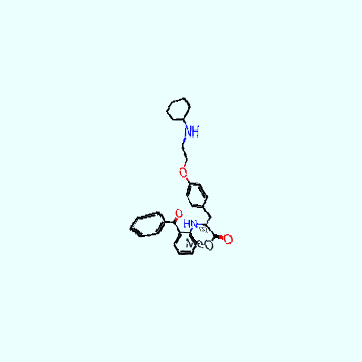 COC(=O)[C@H](Cc1ccc(OCCNC2CCCCC2)cc1)Nc1ccccc1C(=O)c1ccccc1